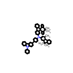 CC1C=C(N(c2ccc(-c3ccc4c(c3)c3ccccc3n4-c3ccccc3)cc2)c2ccc3c(c2)C2(c4ccccc4-3)c3ccccc3C(C)(C)c3ccccc32)C=C2C1c1ccccc1C2(C)C